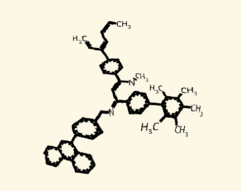 C=C/C(=C\C=C/C)c1ccc(/C(=C/C(=N\Cc2ccc(-c3cc4ccccc4c4ccccc34)cc2)c2ccc(-c3c(C)c(C)c(C)c(C)c3C)cc2)N=C)cc1